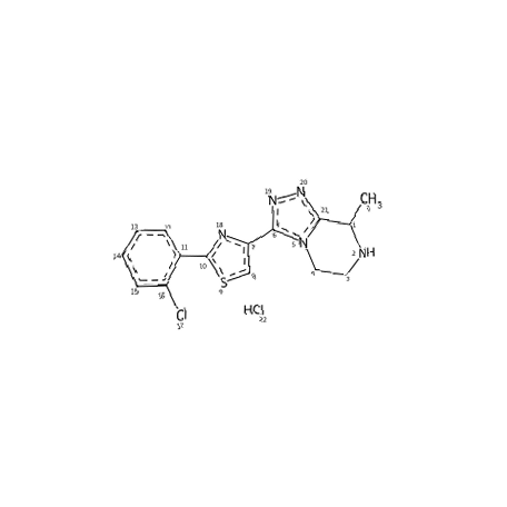 CC1NCCn2c(-c3csc(-c4ccccc4Cl)n3)nnc21.Cl